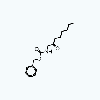 CCCCCCC(=O)CNC(=O)OCc1ccccc1